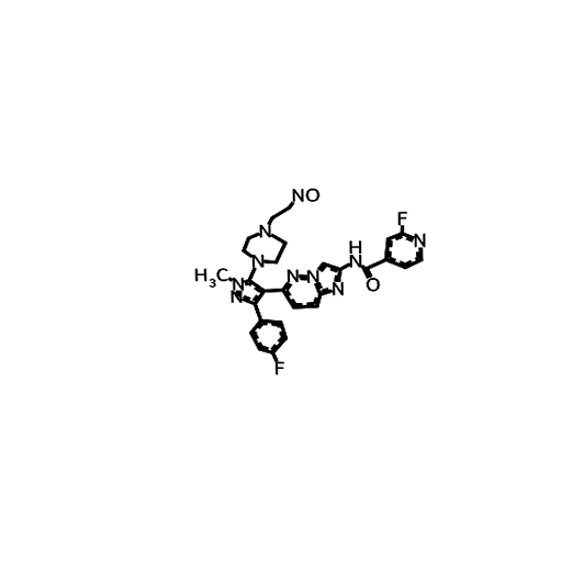 Cn1nc(-c2ccc(F)cc2)c(-c2ccc3nc(NC(=O)c4ccnc(F)c4)cn3n2)c1N1CCN(CCN=O)CC1